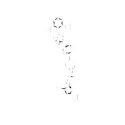 O=C(Cn1oc(C(F)(F)F)cc1=O)N1CCC(c2nc(C3=NO[C@H](c4c(Cl)cccc4Cl)C3)cs2)CC1